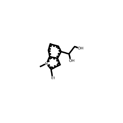 CCc1cc2c(C(O)CO)cccc2n1C